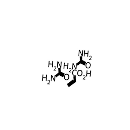 C=CC(=O)O.NC(N)=O.NC(N)=O